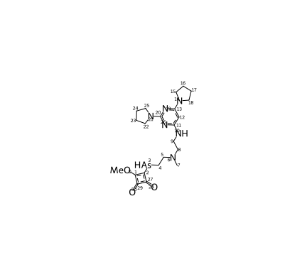 COc1c([AsH]CCN(C)CCNc2cc(N3CCCC3)nc(N3CCCC3)n2)c(=O)c1=O